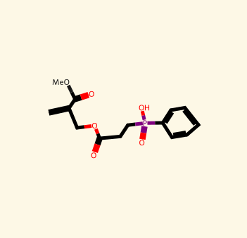 C=C(COC(=O)CCP(=O)(O)c1ccccc1)C(=O)OC